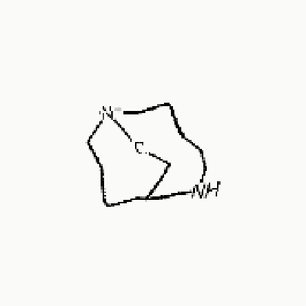 C1C[N+]2CCC(CC2)N1